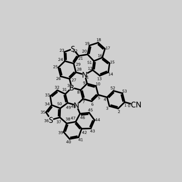 N#Cc1ccc(-c2cc3c4c(c2)-n2c5cccc6cccc(c7scc8ccc(c2c87)B4c2ccc4csc7c8cccc9cccc(c98)n-3c2c47)c65)cc1